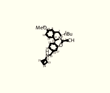 C#CC(=O)N1[C@@H](CCCC)Cc2cc(OC)ccc2[C@@H]1c1ccc(CNC23CC(C2)C3)cc1